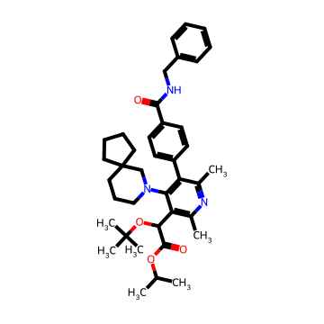 Cc1nc(C)c(C(OC(C)(C)C)C(=O)OC(C)C)c(N2CCCC3(CCCC3)C2)c1-c1ccc(C(=O)NCc2ccccc2)cc1